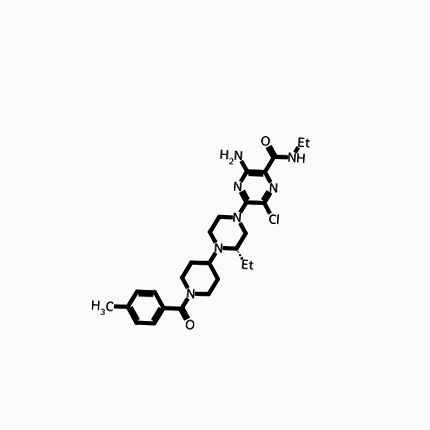 CCNC(=O)c1nc(Cl)c(N2CCN(C3CCN(C(=O)c4ccc(C)cc4)CC3)[C@@H](CC)C2)nc1N